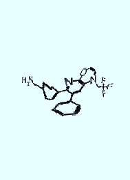 NCc1ccc(-c2nc3c(cc2-c2ccccc2)N(CC(F)(F)F)C=CO3)cc1